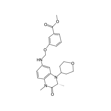 COC(=O)c1cccc(OCNc2ccc3c(c2)N(C2CCOCC2)[C@H](C)C(=O)N3C)c1